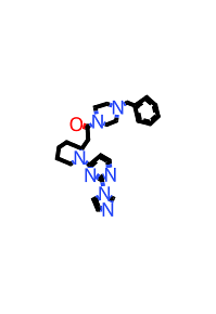 O=C(CC1CCCCN1c1ccnc(-n2ccnc2)n1)N1CCN(Cc2ccccc2)CC1